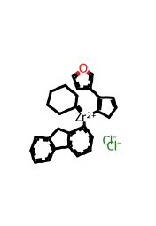 C1=CC(c2ccoc2)=[C]([Zr+2](=[C]2CCCCC2)[c]2cccc3c2Cc2ccccc2-3)C1.[Cl-].[Cl-]